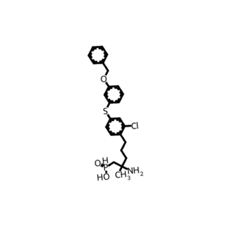 CC(N)(CCCc1ccc(Sc2cccc(OCc3ccccc3)c2)cc1Cl)C[PH](=O)O